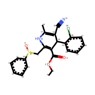 CCOC(=O)C1=C(C[S+]([O-])c2ccccc2)NC(C)=C(C#N)C1c1ccccc1Cl